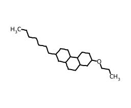 CCCCCCCC1CCC2C(CCC3CC(OCCC)CCC32)C1